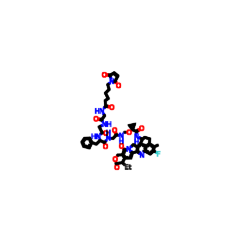 CCC1C(=O)OCc2c1cc1n(c2=O)Cc2c-1nc1cc(F)c(C)c3c1c2C(NC(=O)C1(OCNC(=O)CNC(=O)C(Cc2ccccc2)NC(=O)CNC(=O)CNC(=O)CCCCCN2C(=O)C=CC2=O)CC1)CC3